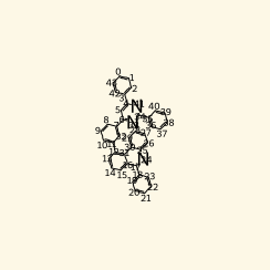 c1ccc(-c2cc(-c3cccc(-c4cccc5c(-c6ccccc6)nc6ccccc6c45)c3)nc(-c3ccccc3)n2)cc1